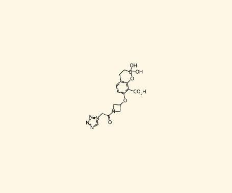 O=C(O)c1c(OC2CN(C(=O)Cn3cnnn3)C2)ccc2c1O[B-](O)(O)CC2